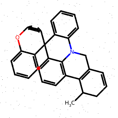 CC1CC=CC2=C1c1cccc3c1N(C2)c1ccccc1C31c2ccccc2Oc2ccccc21